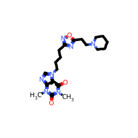 Cn1c(=O)c2c(ncn2CCCCc2noc(CCN3CCCCC3)n2)n(C)c1=O